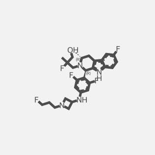 C[C@@H]1Cc2c([nH]c3ccc(F)cc23)[C@@H](c2c(F)cc(NC3CN(CCCF)C3)cc2F)N1CC(C)(F)CO